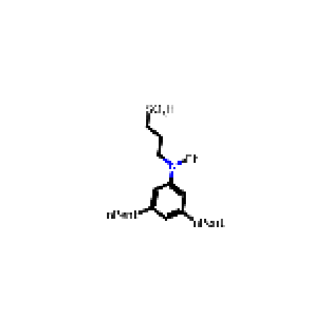 CCCCCc1cc(CCCCC)cc(N(CC)CCCS(=O)(=O)O)c1